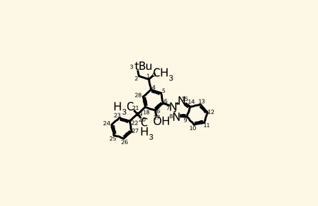 CC(CC(C)(C)C)c1cc(-n2nc3ccccc3n2)c(O)c(C(C)(C)c2ccccc2)c1